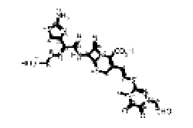 Cn1c(SC=CC2=C(C(=O)O)N3C(=O)C(NC(=O)C(=NOCC(=O)O)c4csc(N)n4)C3SC2)nn(CC=O)c(=O)c1=O